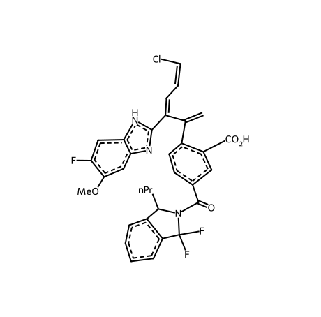 C=C(/C(=C\C=C/Cl)c1nc2cc(OC)c(F)cc2[nH]1)c1ccc(C(=O)N2C(CCC)c3ccccc3C2(F)F)cc1C(=O)O